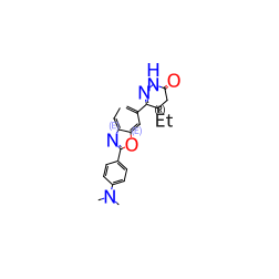 C=C(/C=c1/oc(-c2ccc(N(C)C)cc2)n/c1=C/C)C1=NNC(=O)C[C@H]1CC